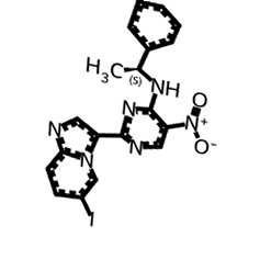 C[C@H](Nc1nc(-c2cnc3ccc(I)cn23)ncc1[N+](=O)[O-])c1ccccc1